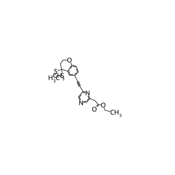 CCOC(=O)Cc1cncc(C#Cc2ccc3c(c2)C(SC)(SC)CCO3)n1